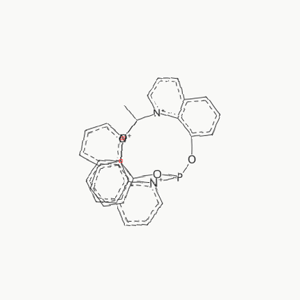 CC12Oc3cccc4ccc[n+](c34)P(Oc3cccc4ccc[n+]1c34)Oc1cccc3ccc[n+]2c13